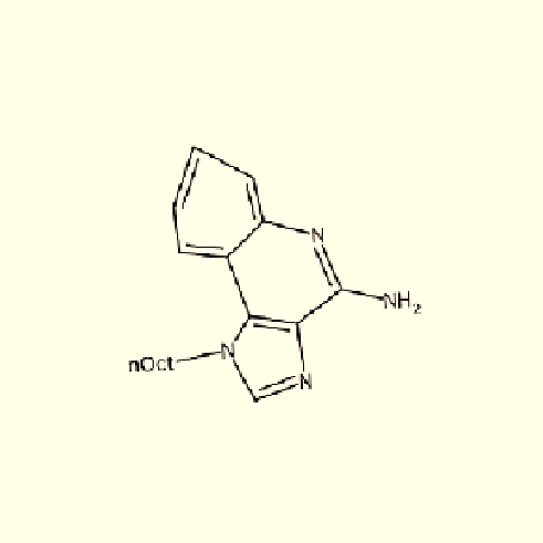 CCCCCCCCn1cnc2c(N)nc3ccccc3c21